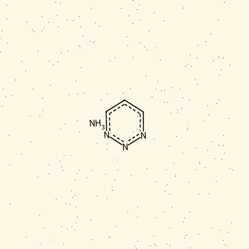 N.c1cnnnc1